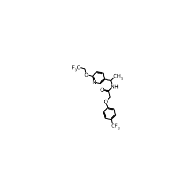 CC(NC(=O)COc1ccc(C(F)(F)F)cc1)c1ccc(OCC(F)(F)F)nc1